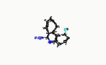 Nc1nc2cccc(F)c2c2ccccc12